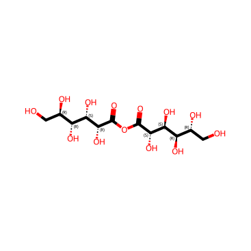 O=C(OC(=O)[C@H](O)[C@@H](O)[C@H](O)[C@H](O)CO)[C@@H](O)[C@@H](O)[C@H](O)[C@H](O)CO